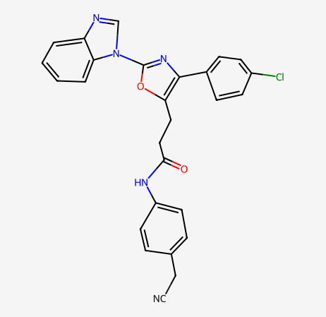 N#CCc1ccc(NC(=O)CCc2oc(-n3cnc4ccccc43)nc2-c2ccc(Cl)cc2)cc1